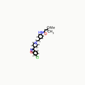 COC(C)CC(=O)NC1CCC(CCN2CCC(c3noc4cc(Cl)ccc34)CC2)CC1